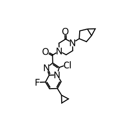 O=C(c1nc2c(F)cc(C3CC3)cn2c1Cl)N1CCN(C2CC3CC3C2)C(=O)C1